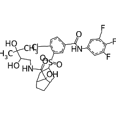 CC(C)(O)C(O)CNC(=O)C1(O)C2CCC1CC(S(=O)(=O)c1cc(C(=O)Nc3cc(F)c(F)c(F)c3)ccc1Cl)C2